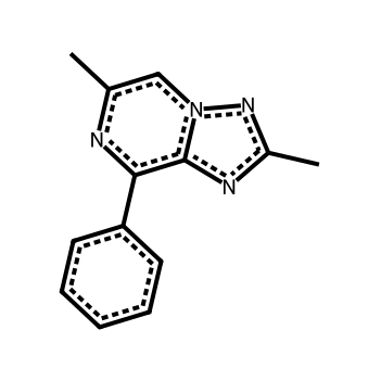 Cc1cn2nc(C)nc2c(-c2ccccc2)n1